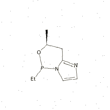 CCP1O[C@@H](C)Cc2nccn21